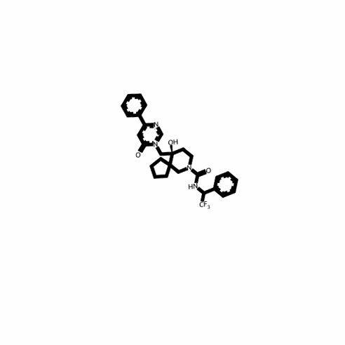 O=C(NC(c1ccccc1)C(F)(F)F)N1CC[C@@](O)(Cn2cnc(-c3ccccc3)cc2=O)C2(CCCC2)C1